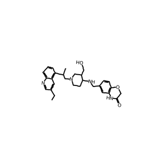 CCc1cnc2cccc(C(C)CN3CCC(NCc4ccc5c(c4)NC(=O)CO5)C(CO)C3)c2c1